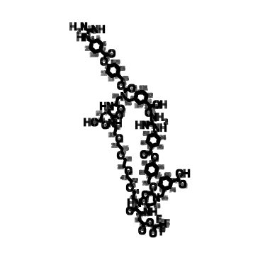 N=C(N)Nc1ccc(C(=O)Oc2ccc(COC(=O)N(CC(=O)N[C@@H](CC(=O)O)C(=O)NCCOCCOCCOCCOCCNC(=O)[C@H](CC(=O)OC(=O)C(F)(F)F)NC(=O)CN(Cc3cccc(C(=O)O)c3)C(=O)OCc3ccc(OC(=O)c4ccc(NC(=N)N)cc4)cc3)Cc3cccc(C(=O)O)c3)cc2)cc1